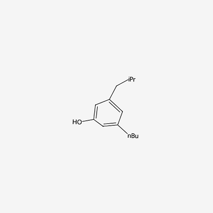 CCCCc1cc(O)cc(CC(C)C)c1